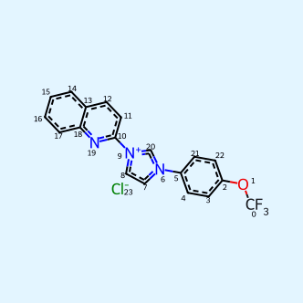 FC(F)(F)Oc1ccc(-n2cc[n+](-c3ccc4ccccc4n3)c2)cc1.[Cl-]